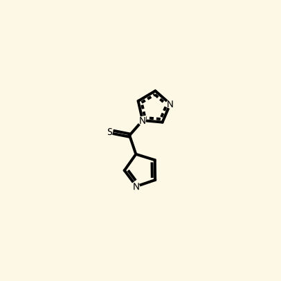 S=C(C1C=CN=C1)n1ccnc1